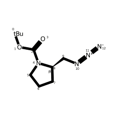 CC(C)(C)OC(=O)N1CCC[C@@H]1CN=[N+]=[N-]